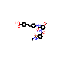 CCN[S+]([O-])c1cccc(C(=O)Nc2ccc(OC)cc2C(=O)Nc2ccc(CCc3ccc(C(=O)O)cc3)cc2)c1